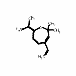 C=CC1=CC(C)(C)SC(C(C)N)CC1